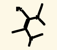 C/C(=C(\C(C)C)N(C)C)N(C)C